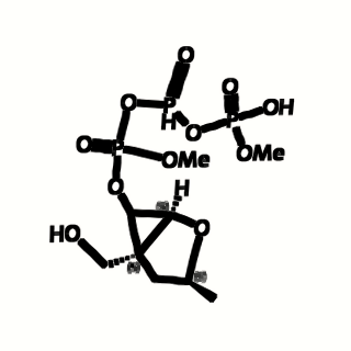 COP(=O)(O)O[PH](=O)OP(=O)(OC)OC1[C@H]2O[C@@H](C)C[C@@]12CO